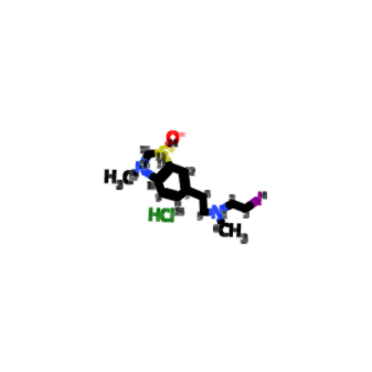 CN(CCI)CCc1ccc2c(c1)[S+]([O-])CN2C.Cl